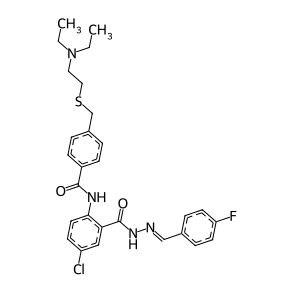 CCN(CC)CCSCc1ccc(C(=O)Nc2ccc(Cl)cc2C(=O)NN=Cc2ccc(F)cc2)cc1